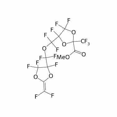 COC(=O)C1(C(F)(F)F)OC(F)(F)C(F)(C(F)(F)OC(F)(F)C2(F)OC(=C(F)F)OC2(F)F)O1